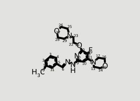 Cc1cccc(/C=N/Nc2cc(N3CCOCC3)c(F)c(OCCN3CCOCC3)n2)c1